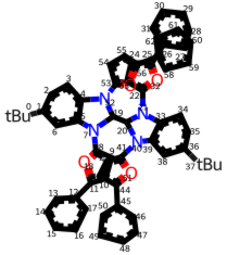 CC(C)(C)c1ccc2c(c1)N(c1ccc(-c3ccccc3)o1)C(C1N(c3ccc(-c4ccccc4)o3)c3ccc(C(C)(C)C)cc3N1c1ccc(-c3ccccc3)o1)N2c1ccc(-c2ccccc2)o1